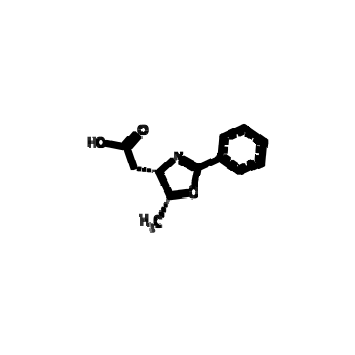 C[C@H]1OC(c2ccccc2)=N[C@H]1CC(=O)O